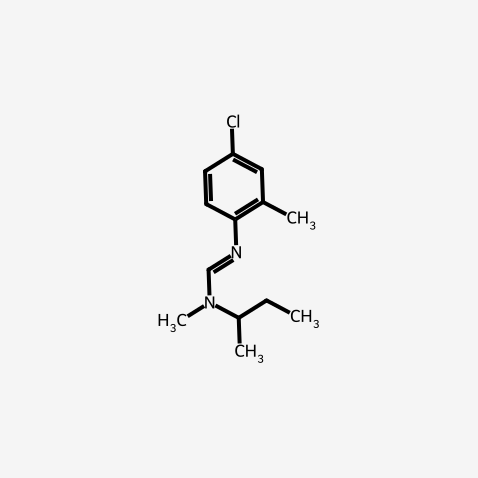 CCC(C)N(C)C=Nc1ccc(Cl)cc1C